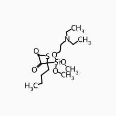 CCCCC1([Si](OC)(OC)OCCN(CC)CC)SC(=O)C1=O